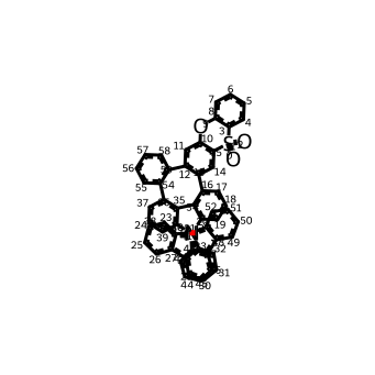 O=S1(=O)c2ccccc2Oc2cc3c(cc21)-c1cccc(-n2c4ccccc4c4ccccc42)c1-c1c(cccc1-n1c2ccccc2c2ccccc21)-c1ccccc1-3